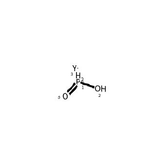 O=[PH2]O.[Y]